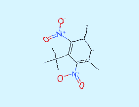 CC1=C([N+](=O)[O-])C(C(C)(C)C)=C([N+](=O)[O-])C(C)[CH]1